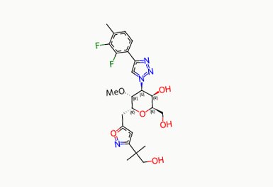 CO[C@@H]1[C@@H](n2cc(-c3ccc(C)c(F)c3F)nn2)[C@@H](O)[C@@H](CO)O[C@@H]1Cc1cc(C(C)(C)CO)no1